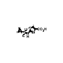 O=C(O)c1csc(NS(=O)(=O)C2CC2)n1